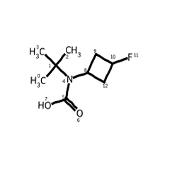 CC(C)(C)N(C(=O)O)C1CC(F)C1